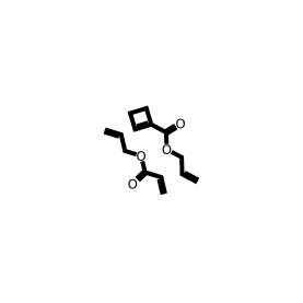 C=CCOC(=O)C1=CCC1.C=CCOC(=O)C=C